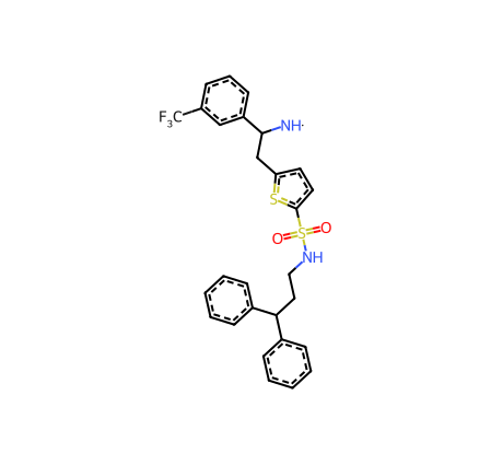 [NH]C(Cc1ccc(S(=O)(=O)NCCC(c2ccccc2)c2ccccc2)s1)c1cccc(C(F)(F)F)c1